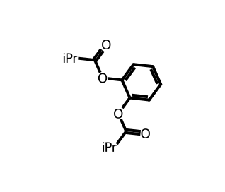 CC(C)C(=O)Oc1ccccc1OC(=O)C(C)C